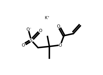 C=CC(=O)OC(C)(C)CS(=O)(=O)[O-].[K+]